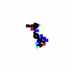 COc1ccc(F)cc1C(=O)NCc1ccc(-c2nn(C3(C(F)F)CC3)c3c(=O)[nH]nc(N)c23)cc1